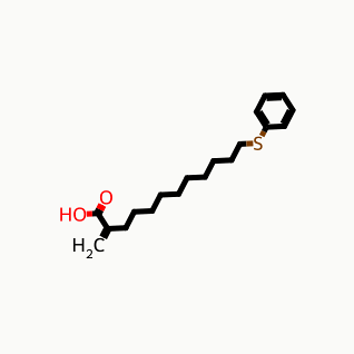 C=C(CCCCCCCCCCSc1ccccc1)C(=O)O